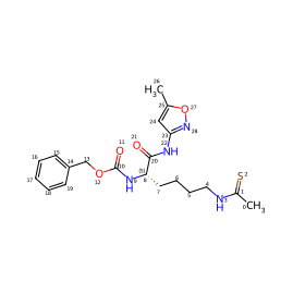 CC(=S)NCCCC[C@H](NC(=O)OCc1ccccc1)C(=O)Nc1cc(C)on1